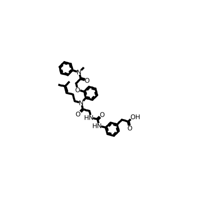 CC(C)=CCCN(C(=O)CNC(=O)Nc1cccc(CC(=O)O)c1)c1ccccc1OCC(=O)N(C)c1ccccc1